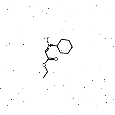 CCOC(=O)/C=[N+](/[O-])C1CCCCC1